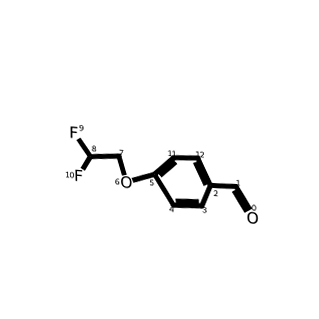 O=Cc1ccc(OCC(F)F)cc1